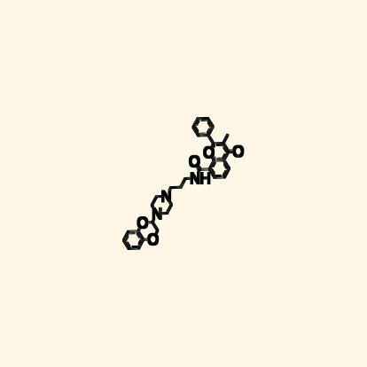 Cc1c(-c2ccccc2)oc2c(C(=O)NCCCN3CCN(C4COc5ccccc5O4)CC3)cccc2c1=O